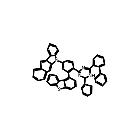 c1ccc(-c2ccccc2C2=NC(c3ccc(-n4c5ccccc5c5cc6ccccc6cc54)cc3-c3cccc4sc5ccccc5c34)=NC(c3ccccc3)N2)cc1